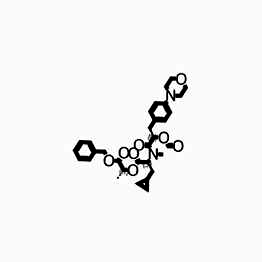 C[C@@H](OC(=O)[C@H](CC1CC1)N(C)C(=O)[C@@H](Cc1ccc(N2CCOCC2)cc1)OC=O)C(=O)OCc1ccccc1